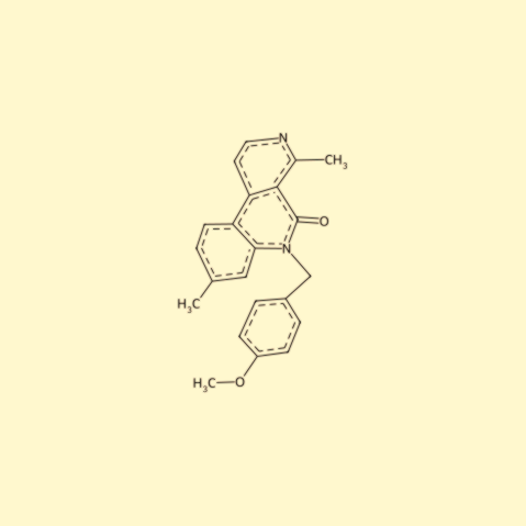 COc1ccc(Cn2c(=O)c3c(C)nccc3c3ccc(C)cc32)cc1